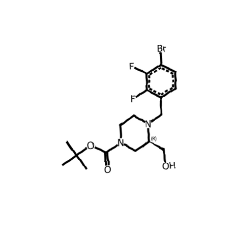 CC(C)(C)OC(=O)N1CCN(Cc2ccc(Br)c(F)c2F)[C@@H](CO)C1